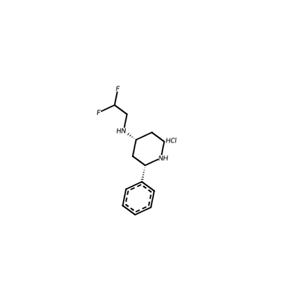 Cl.FC(F)CN[C@@H]1CCN[C@H](c2ccccc2)C1